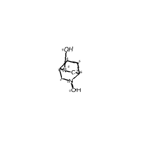 ON1CC2CCC1CN2O